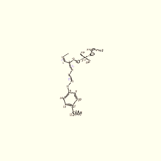 C\C=C/C(=C\C=C\Cc1ccc(SC)cc1)COC(C)(C)OC(C)CCC